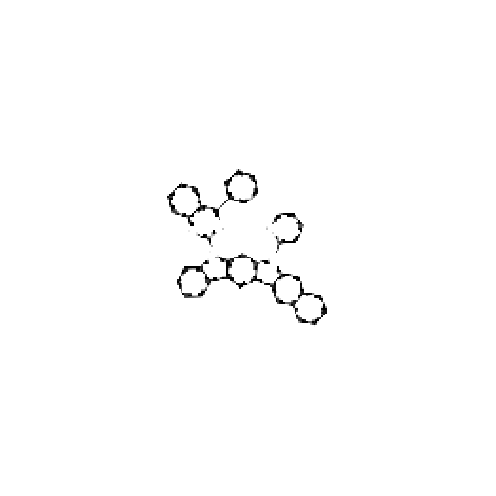 c1ccc(-c2nc(-n3c4ccccc4c4cc5c6cc7ccccc7cc6n(-c6ccccn6)c5cc43)nc3ccccc23)cc1